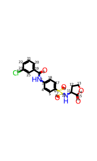 O=C(Nc1ccc(S(=O)(=O)NC2CCOC2=O)cc1)c1cccc(Cl)c1